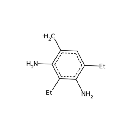 [CH2]c1cc(CC)c(N)c(CC)c1N